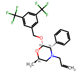 C=CCN1C[C@@H](C)O[C@H](OCc2cc(C(F)(F)F)cc(C(F)(F)F)c2)[C@@H]1c1ccccc1